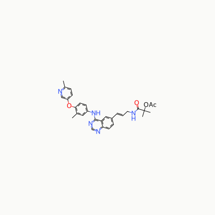 CC(=O)OC(C)(C)C(=O)NCC=Cc1ccc2ncnc(Nc3ccc(Oc4ccc(C)nc4)c(C)c3)c2c1